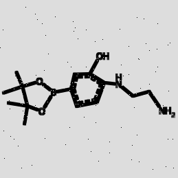 CC1(C)OB(c2ccc(NCCN)c(O)c2)OC1(C)C